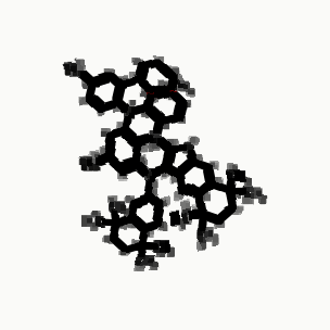 Cc1ccc2c(c1)N(c1ccc(C(C)(C)C)cc1-c1ccccc1)c1cc(C(C)(C)C)cc3c1B2c1sc2cc4c(cc2c1N3c1ccc2c(c1)C(C)(C)CCC2(C)C)C(C)(C)CCC4(C)C